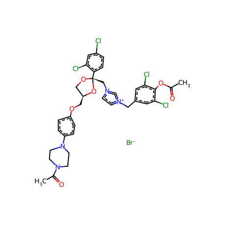 CC(=O)Oc1c(Cl)cc(C[n+]2ccn(C[C@]3(c4ccc(Cl)cc4Cl)OC[C@H](COc4ccc(N5CCN(C(C)=O)CC5)cc4)O3)c2)cc1Cl.[Br-]